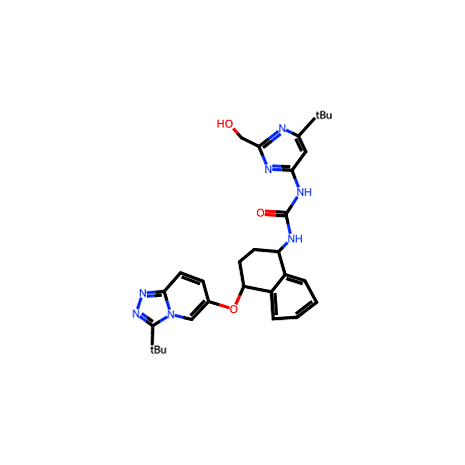 CC(C)(C)c1cc(NC(=O)NC2CCC(Oc3ccc4nnc(C(C)(C)C)n4c3)c3ccccc32)nc(CO)n1